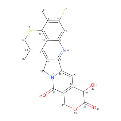 Cc1c(F)cc2nc3c(c4c2c1SCC4C)Cn1c-3cc2c(c1=O)COC(=O)C2O